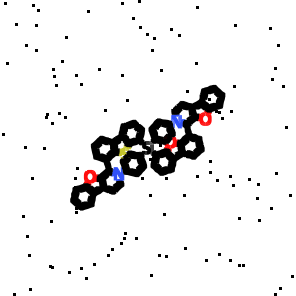 c1ccc([Si](c2ccccc2)(c2cccc3c2oc2c(-c4nccc5c4oc4ccccc45)cccc23)c2cccc3c2sc2c(-c4nccc5c4oc4ccccc45)cccc23)cc1